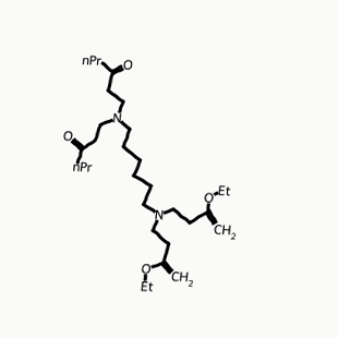 C=C(CCN(CCCCCCN(CCC(=O)CCC)CCC(=O)CCC)CCC(=C)OCC)OCC